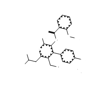 COc1ccccc1C(=O)Nc1c(C)nc(CC(C)C)c(CN)c1-c1ccc(C)cc1.Cl.Cl